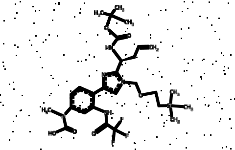 C=CC[C@H](NC(=O)OC(C)(C)C)c1nc(-c2ccc(N(C)C(=O)O)cc2NC(=O)C(F)(F)F)cn1COCC[Si](C)(C)C